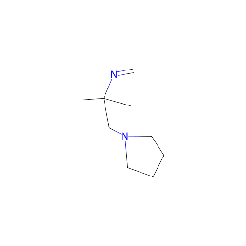 C=NC(C)(C)CN1CCCC1